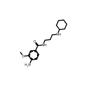 COc1cc(C(=O)NCCCNC2CCCCC2)ccc1N